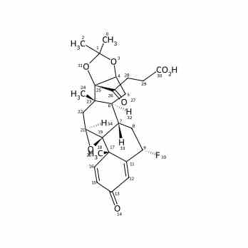 CC1(C)OC2C[C@H]3[C@@H]4C[C@H](F)C5=CC(=O)C=C[C@]5(C)[C@@]45O[C@H]5C[C@]3(C)[C@]2(C(=O)CCC(=O)O)O1